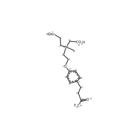 CCCCCCCCCCCC[N+](C)(CCOc1ccc(CCC(=O)C(F)(F)F)cc1)CC(=O)O